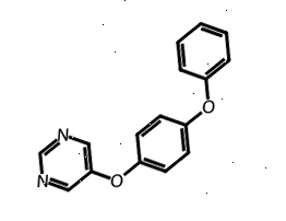 c1ccc(Oc2ccc(Oc3cncnc3)cc2)cc1